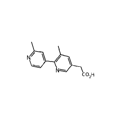 Cc1cc(-c2ncc(CC(=O)O)cc2C)ccn1